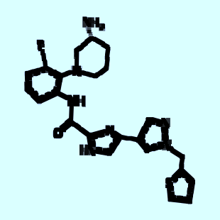 N[C@@H]1CCCN(c2c(F)cccc2NC(=O)c2nc(-c3cnn(Cc4cccs4)c3)c[nH]2)C1